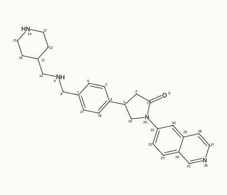 O=C1CC(c2ccc(CNCC3CCNCC3)cc2)CN1c1ccc2cnccc2c1